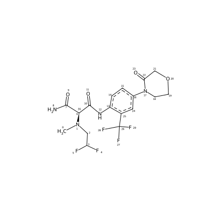 CN(CC(F)F)[C@@H](C(N)=O)C(=O)Nc1ccc(N2CCOCC2=O)cc1C(F)(F)F